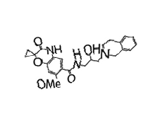 COc1cc2c(cc1C(=O)NCC(O)CN1CCc3ccccc3C1)NC(=O)C1(CC1)O2